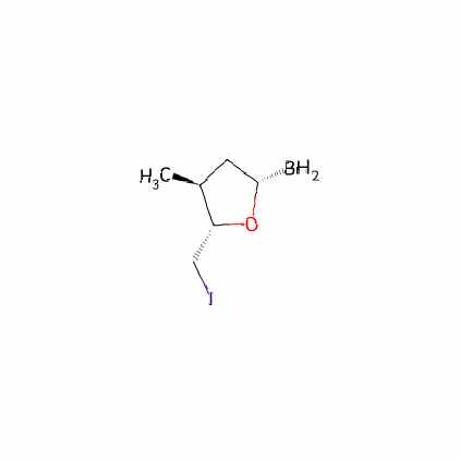 B[C@H]1C[C@H](C)[C@@H](CI)O1